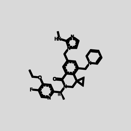 CCOc1cc([C@H](C)N2CC3(CC3)c3c(CN4C=CC=CC4)cc(Cn4ccnc4NC)cc3C2=O)ncc1F